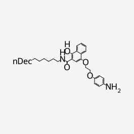 CCCCCCCCCCCCCCCCNC(=O)c1cc(OCCOc2ccc(N)cc2)c2ccccc2c1O